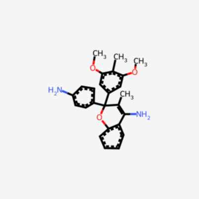 COc1cc(C2(c3ccc(N)cc3)Oc3ccccc3C(N)=C2C)cc(OC)c1C